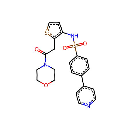 O=C(Cc1sccc1NS(=O)(=O)c1ccc(-c2ccncc2)cc1)N1CCOCC1